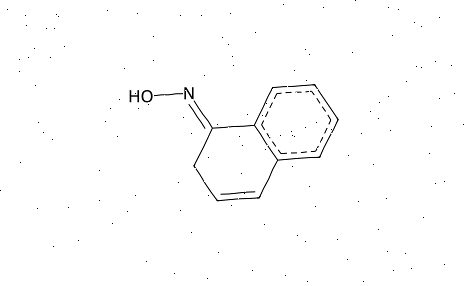 ON=C1CC=Cc2ccccc21